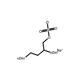 CCCCCCCCCCCCC(CCCCCCCCCC)COS(=O)(=O)[O-].[Na+]